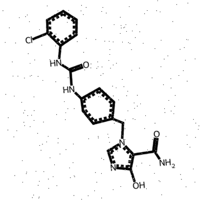 NC(=O)c1c(O)ncn1Cc1ccc(NC(=O)Nc2ccccc2Cl)cc1